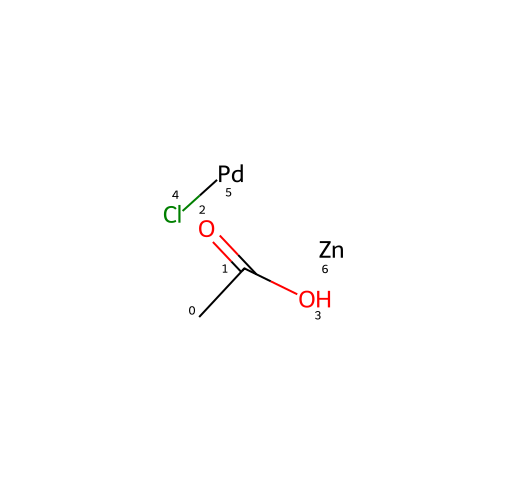 CC(=O)O.[Cl][Pd].[Zn]